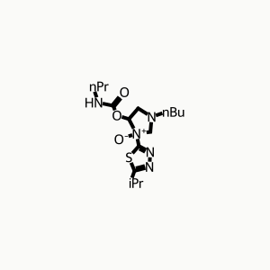 CCCCN1CC(OC(=O)NCCC)[N+]([O-])(c2nnc(C(C)C)s2)C1